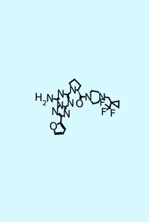 Nc1nc(N2CCC[C@H]2C(=O)N2CCN(CC3(C(F)(F)F)CC3)CC2)nc2nc(-c3ccco3)nn12